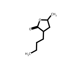 CCCCC1CC(C)OC1=O